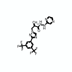 C=C(Cn1cnc(-c2cc(C(F)(F)F)cc(C(F)(F)F)c2)n1)C(=O)NNc1cnccn1